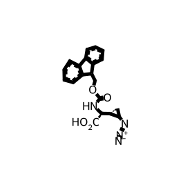 [N-]=[N+]=NC1C[C@H]1[C@H](NC(=O)OCC1c2ccccc2-c2ccccc21)C(=O)O